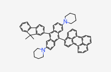 CC1(C)c2ccccc2-c2ccc(-c3c4cc(N5CCCCC5)ccc4c(-c4ccc5c6cccc7cccc(c8cccc4c85)c76)c4cc(N5CCCCC5)ccc34)cc21